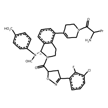 CC(C)C(N)C(=O)N1CC=C(c2cccc3c2CCN(C(=O)C2CC(c4cccc(Cl)c4F)=NO2)[C@@H]3N(C=O)c2ccc(C(=O)O)cc2)CC1